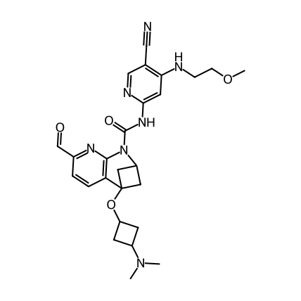 COCCNc1cc(NC(=O)N2c3nc(C=O)ccc3C3(OC4CC(N(C)C)C4)CC2C3)ncc1C#N